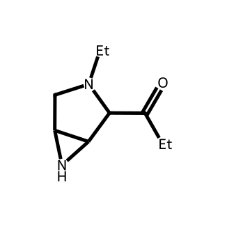 CCC(=O)C1C2NC2CN1CC